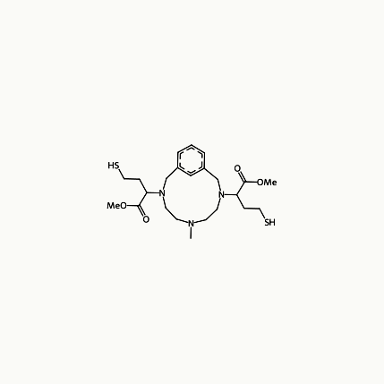 COC(=O)C(CCS)N1CCN(C)CCN(C(CCS)C(=O)OC)Cc2cccc(c2)C1